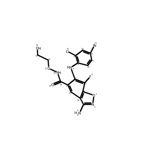 Nc1noc2c(F)c(Nc3ccc(Br)cc3Cl)c(C(=O)NOCCO)cc12